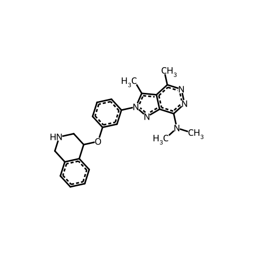 Cc1nnc(N(C)C)c2nn(-c3cccc(OC4CNCc5ccccc54)c3)c(C)c12